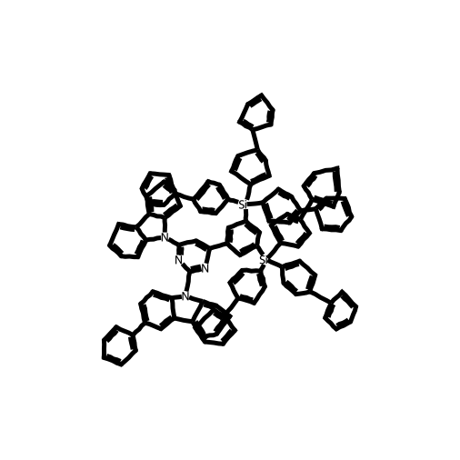 c1ccc(-c2ccc([Si](c3ccc(-c4ccccc4)cc3)(c3ccc(-c4ccccc4)cc3)c3cc(-c4cc(-n5c6ccccc6c6ccccc65)nc(-n5c6ccccc6c6cc(-c7ccccc7)ccc65)n4)cc([Si](c4ccc(-c5ccccc5)cc4)(c4ccc(-c5ccccc5)cc4)c4ccc(-c5ccccc5)cc4)c3)cc2)cc1